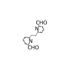 O=Cc1cccc(CCc2cccc(C=O)n2)n1